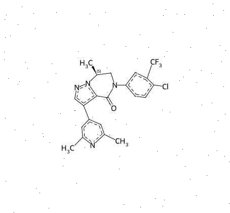 Cc1cc(-c2cnn3c2C(=O)N(c2ccc(Cl)c(C(F)(F)F)c2)C[C@@H]3C)cc(C)n1